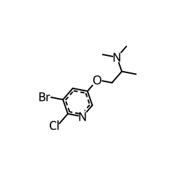 CC(COc1cnc(Cl)c(Br)c1)N(C)C